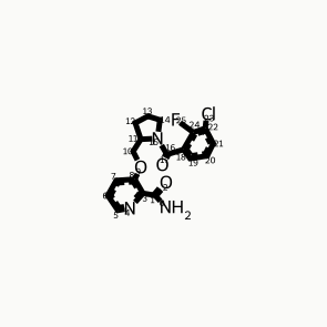 NC(=O)c1ncccc1OCC1CCCN1C(=O)c1cccc(Cl)c1F